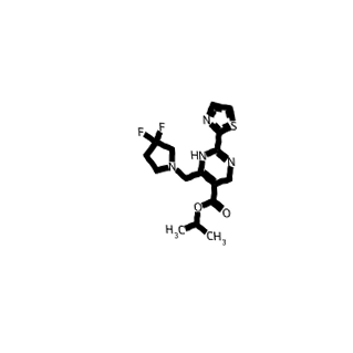 CC(C)OC(=O)C1=C(CN2CCC(F)(F)C2)NC(c2nccs2)=NC1